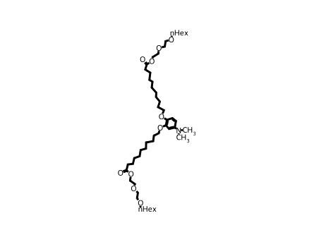 CCCCCCOCCOCCOC(=O)CCCCCCCCCCOc1ccc(N(C)C)cc1OCCCCCCCCCCC(=O)OCCOCCOCCCCCC